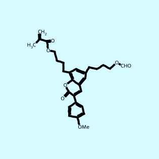 C=C(C)C(=O)OCCCCc1cc(CCCCOC=O)cc2cc(-c3ccc(OC)cc3)c(=O)oc12